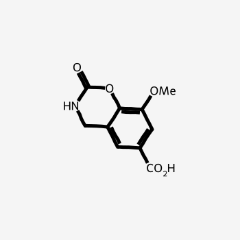 COc1cc(C(=O)O)cc2c1OC(=O)NC2